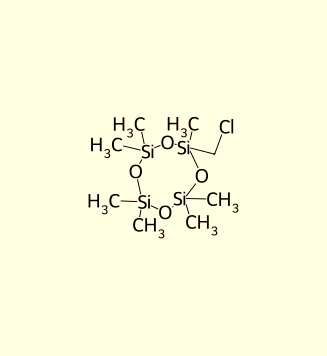 C[Si]1(C)O[Si](C)(C)O[Si](C)(CCl)O[Si](C)(C)O1